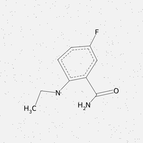 CC[N]c1ccc(F)cc1C(N)=O